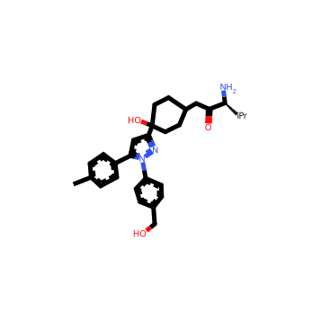 Cc1ccc(-c2cc(C3(O)CCC(CC(=O)[C@@H](N)C(C)C)CC3)nn2-c2ccc(CO)cc2)cc1